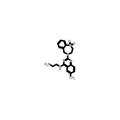 Cc1ccc2nc(N3CCS(=O)(=O)c4ccccc4C3)nc(NCCN)c2c1